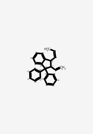 C=CC1C(/C=C\C)c2ccccc2C1(c1ccccc1)c1ccccc1